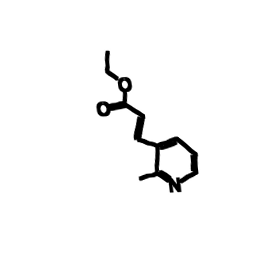 CCOC(=O)C=Cc1cccnc1C